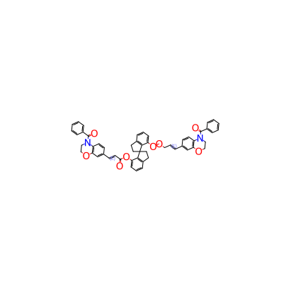 O=C(/C=C/c1ccc2c(c1)OCCN2C(=O)c1ccccc1)Oc1cccc2c1C1(CCc3cccc(OOC/C=C/c4ccc5c(c4)OCCN5C(=O)c4ccccc4)c31)CC2